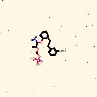 COc1cccc(CCc2ccccc2O[C@@H](C(C)OCOP(=O)(O)O)N(C)C)c1